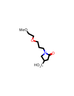 COCCOCCCN1CC(C(=O)O)CC1=O